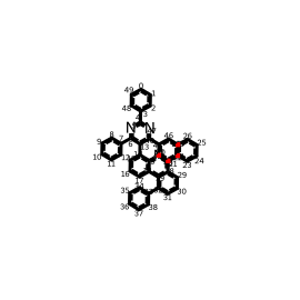 c1ccc(-c2nc(-c3ccccc3)c(-c3cccc4c3nc(-c3ccccc3)c3cccc(-c5ccccc5)c34)c(-c3ccccc3)n2)cc1